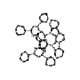 c1ccc(-c2cc(-c3ccccc3)nc(-c3cccc(-n4c5ccccc5c5ccc6c7ccccc7n(-c7cccc(-c8nc(-c9ccccc9)cc(-c9ccccc9)n8)n7)c6c54)n3)n2)cc1